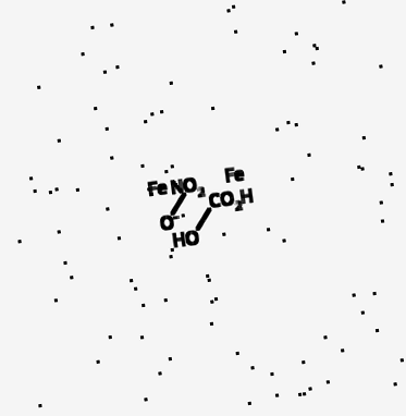 O=C(O)O.O=[N+]([O-])[O-].[Fe].[Fe]